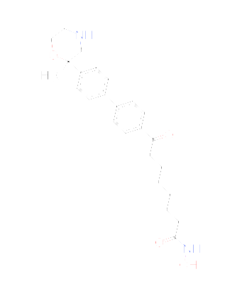 CC1(c2ccc(-c3ccc(C(=O)CCCCCCC(=O)NO)cc3)cc2)CNCCO1